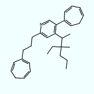 CCCC(C)(CC)C(C)c1cc(CCCC2=CC=CCC=C2)ncc1C1=CCC=CC=C1